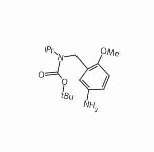 COc1ccc(N)cc1CN(C(=O)OC(C)(C)C)C(C)C